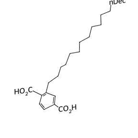 CCCCCCCCCCCCCCCCCCCCCCc1cc(C(=O)O)ccc1C(=O)O